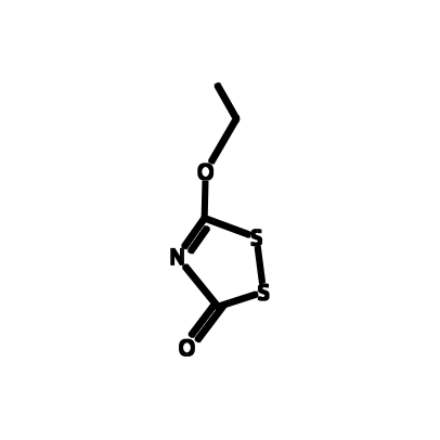 CCOc1nc(=O)ss1